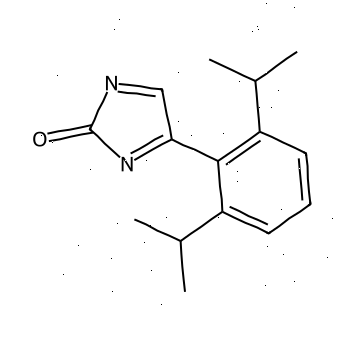 CC(C)c1cccc(C(C)C)c1C1=NC(=O)N=C1